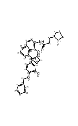 CN1CCCC1/C=C/C(=O)Nc1ccc2ncnc(Nc3ccc(OCc4ccccn4)c(Cl)c3)c2c1OC1CCC1